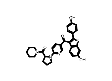 O=C(c1ccc(N2CCCC2C(=O)N2CCCCC2)nc1)c1c(-c2ccc(O)cc2)sc2cc(O)ccc12